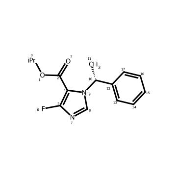 CC(C)OC(=O)c1c(F)ncn1[C@H](C)c1ccccc1